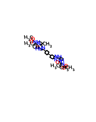 C=C1CCN(C(=O)[C@@H](NC(=O)OC)C(C)C)[C@@H]1c1nc(-c2ccc(-c3ccc4nc([C@@H]5CCCN5C(=O)[C@@H](NC(=O)OC)C(C)C)[nH]c4c3)cc2)c[nH]1